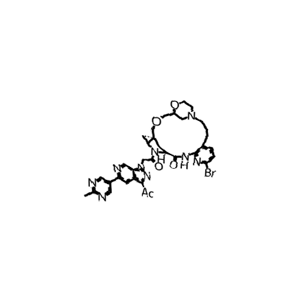 CC(=O)c1nn(CC(=O)N2C3C[C@@]34COCC3CN(CCCc5ccc(Br)nc5NC(=O)[C@@H]2C4)CCO3)c2cnc(-c3cnc(C)nc3)cc12